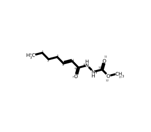 CCCCC=CC(=O)NNC(=O)OC